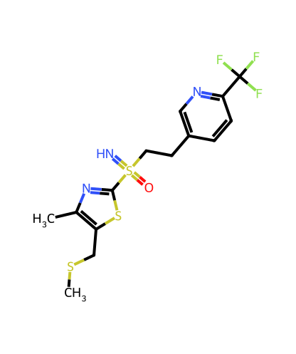 CSCc1sc(S(=N)(=O)CCc2ccc(C(F)(F)F)nc2)nc1C